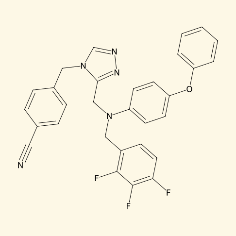 N#Cc1ccc(Cn2cnnc2CN(Cc2ccc(F)c(F)c2F)c2ccc(Oc3ccccc3)cc2)cc1